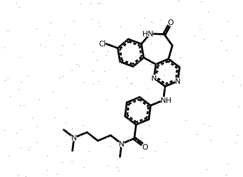 CN(C)CCCN(C)C(=O)c1cccc(Nc2ncc3c(n2)-c2ccc(Cl)cc2NC(=O)C3)c1